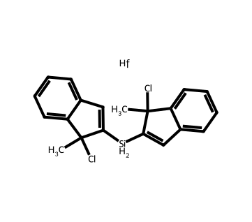 CC1(Cl)C([SiH2]C2=Cc3ccccc3C2(C)Cl)=Cc2ccccc21.[Hf]